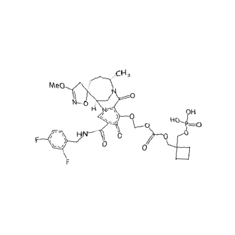 COC1=NO[C@@]2(CC[C@H](C)N3C[C@H]2n2cc(C(=O)NCc4ccc(F)cc4F)c(=O)c(OCOC(=O)OCC4(COP(=O)(O)O)CCC4)c2C3=O)C1